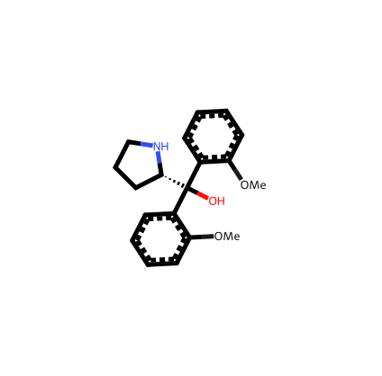 COc1ccccc1C(O)(c1ccccc1OC)[C@@H]1CCCN1